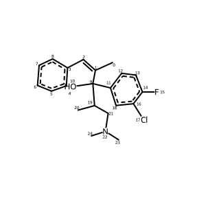 C/C(=C/c1ccccc1)C(O)(c1ccc(F)c(Cl)c1)C(C)CN(C)C